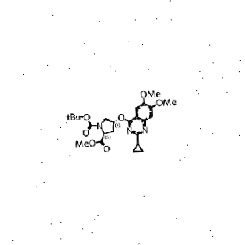 COC(=O)[C@@H]1C[C@@H](Oc2nc(C3CC3)nc3cc(OC)c(OC)cc23)CN1C(=O)OC(C)(C)C